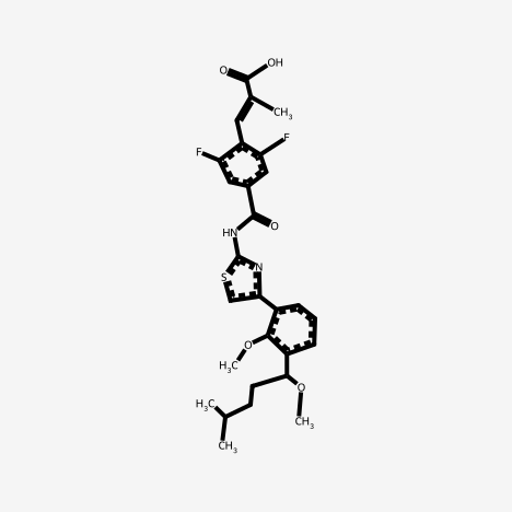 COc1c(-c2csc(NC(=O)c3cc(F)c(C=C(C)C(=O)O)c(F)c3)n2)cccc1C(CCC(C)C)OC